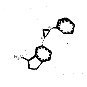 NC1CCc2ccc([C@@H]3C[C@H]3c3ccccc3)cc21